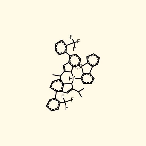 CC(C)C1=Cc2c(-c3ccccc3C(F)(F)F)cccc2[CH]1[Hf]([c]1cccc2c1[SiH2]c1ccccc1-2)[CH]1C(C(C)C)=Cc2c(-c3ccccc3C(F)(F)F)cccc21